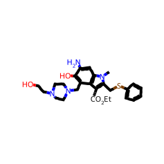 CCOC(=O)c1c(CSc2ccccc2)n(C)c2cc(N)c(O)c(CN3CCN(CCO)CC3)c12